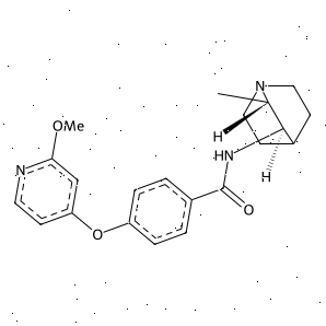 COc1cc(Oc2ccc(C(=O)N[C@@H]3C4CCN(CC4)[C@H]3C)cc2)ccn1